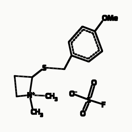 COc1ccc(CSC2CC[N+]2(C)C)cc1.O=S(=O)([O-])F